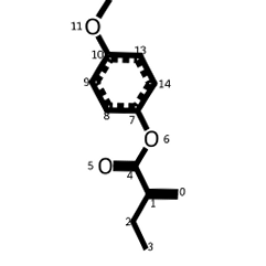 C=C(CC)C(=O)Oc1ccc(OC)cc1